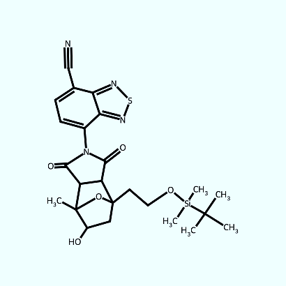 CC12OC(CCO[Si](C)(C)C(C)(C)C)(CC1O)C1C(=O)N(c3ccc(C#N)c4nsnc34)C(=O)C12